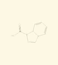 O=C(O)C1SCC2C=CC=CC21